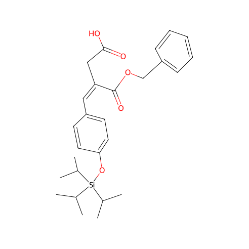 CC(C)[Si](Oc1ccc(C=C(CC(=O)O)C(=O)OCc2ccccc2)cc1)(C(C)C)C(C)C